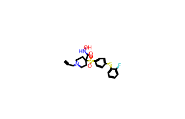 C#CCN1CCC(C(=O)NO)(S(=O)(=O)c2ccc(Sc3ccccc3F)cc2)CC1